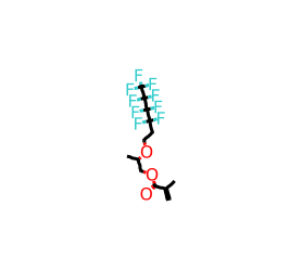 C=C(C)C(=O)OCC(C)OCCC(F)(F)C(F)(F)C(F)(F)C(F)(F)F